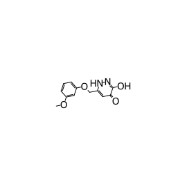 COc1cccc(OCc2cc(=O)c(O)n[nH]2)c1